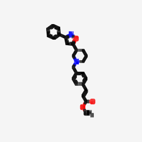 COC(=O)/C=C/c1ccc(CN2CCCC(c3cc(-c4ccccc4)no3)C2)cc1